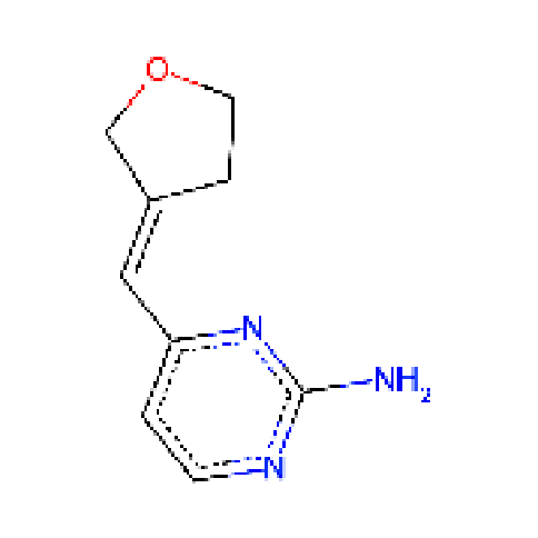 Nc1nccc(/C=C2\CCOC2)n1